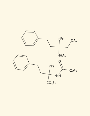 CCCC(CCc1ccccc1)(COC(C)=O)NC(C)=O.CCCC(CCc1ccccc1)(NC(=O)OC)C(=O)OCC